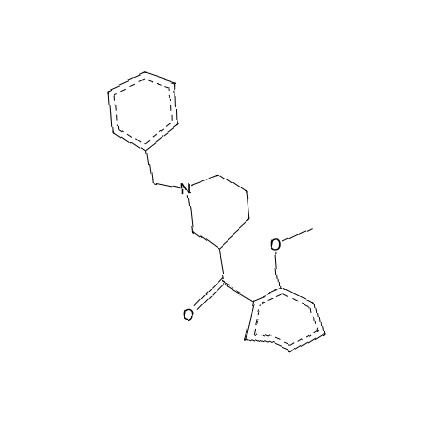 COc1ccccc1C(=O)C1CCCN(Cc2ccccc2)C1